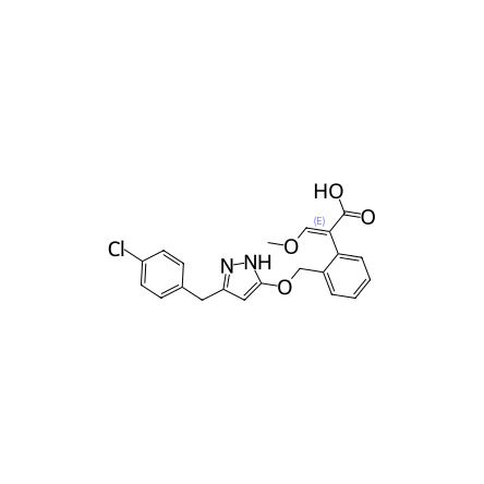 CO/C=C(/C(=O)O)c1ccccc1COc1cc(Cc2ccc(Cl)cc2)n[nH]1